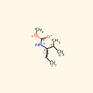 C/C=C(/NC(=O)OC)C(C)C